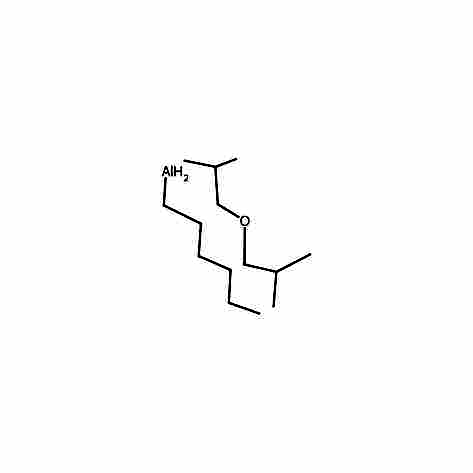 CC(C)COCC(C)C.CCCCC[CH2][AlH2]